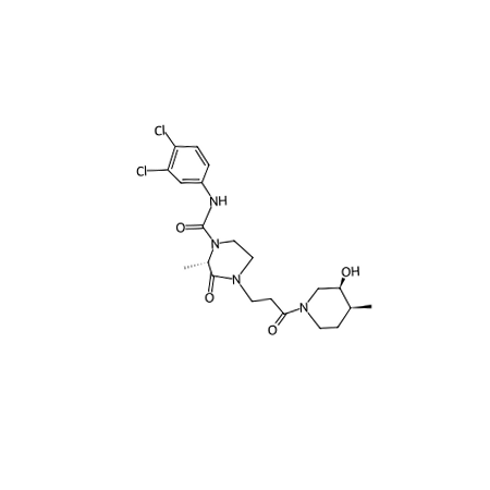 C[C@H]1CCN(C(=O)CCN2CCN(C(=O)Nc3ccc(Cl)c(Cl)c3)[C@@H](C)C2=O)C[C@H]1O